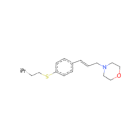 CC(C)CCSc1ccc(C=CCN2CCOCC2)cc1